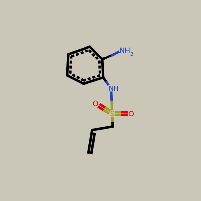 C=CCS(=O)(=O)Nc1ccccc1N